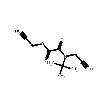 C#CCOC(=O)C(=O)N(CC#C)C(C)(C)C